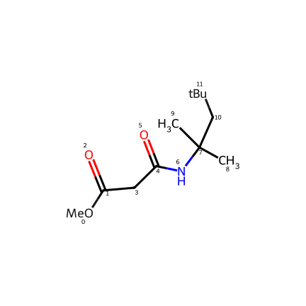 COC(=O)CC(=O)NC(C)(C)CC(C)(C)C